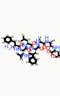 CC(C)C[C@H](NC(=O)[C@H](C)NC(=O)[C@H](C)NC(=O)[C@H](Cc1c[nH]c2ccccc12)NC(=O)[C@H](CC(C)C)NC(=O)[C@H](CC(C)C)NC(=O)[C@@H](N)Cc1ccccc1)C(=O)O